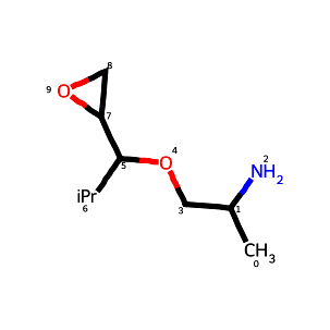 CC(N)COC(C(C)C)C1CO1